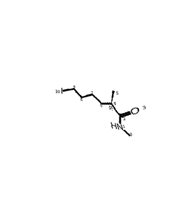 CNC(=O)[C@H](C)CCCCI